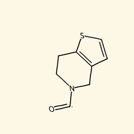 O=[C]N1CCc2sccc2C1